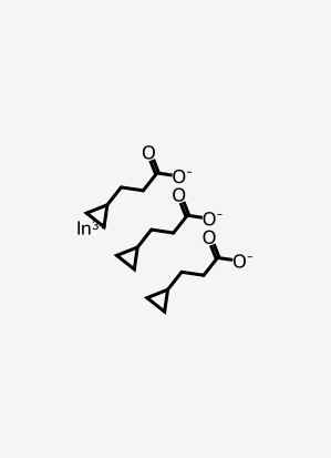 O=C([O-])CCC1CC1.O=C([O-])CCC1CC1.O=C([O-])CCC1CC1.[In+3]